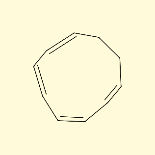 C1=CC=CCCC=CC=C1